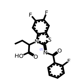 CCC(C(=O)O)n1/c(=N/C(=O)c2ccccc2F)sc2cc(F)c(F)cc21